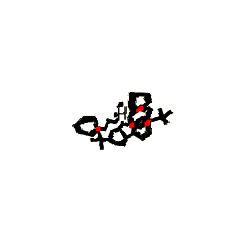 [CH2]=[Hf]([CH3])([CH3])([CH2]CCc1ccccc1)([C]1=CC=CC1)([c]1ccccc1)[CH]1c2cc(C(C)(C)C)ccc2-c2ccc(C(C)(C)C)cc21